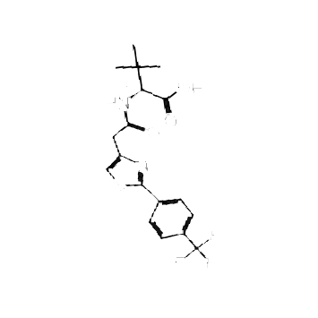 CC(C)(C)[C@H](NC(=O)Cc1csc(-c2ccc(C(F)(F)F)cc2)n1)C(=O)O